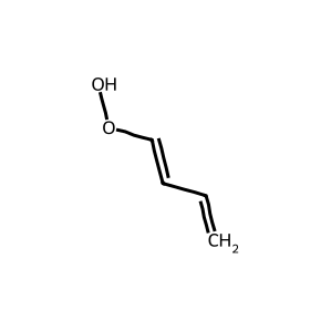 C=C/C=C/OO